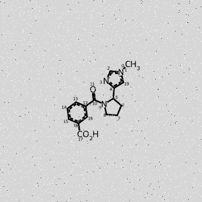 Cn1cnc(C2CCCN2C(=O)c2cccc(C(=O)O)c2)c1